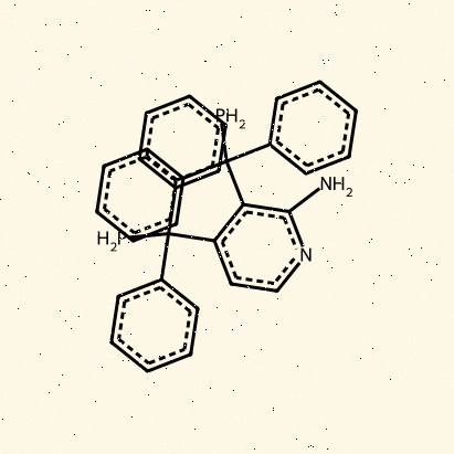 Nc1nccc(C(P)(c2ccccc2)c2ccccc2)c1C(P)(c1ccccc1)c1ccccc1